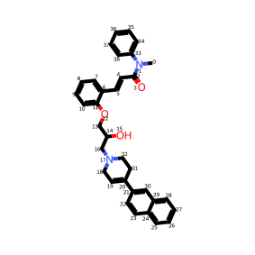 CN(C(=O)C=Cc1ccccc1OCC(O)CN1CC=C(c2ccc3ccccc3c2)CC1)c1ccccc1